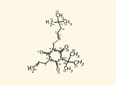 C=CCn1c(=O)n(C/C=C/CC(C)(C)C)c(=O)n(C(C)(C)C)c1=O